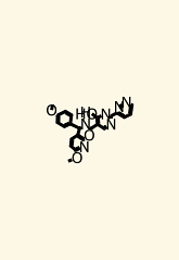 COc1ccc(C(NC(=O)c2cnc(-c3cccnn3)nc2O)c2ccc(OC)nc2)cc1